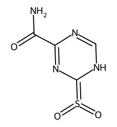 NC(=O)c1nc[nH]c(=S(=O)=O)n1